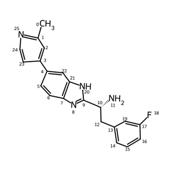 Cc1cc(-c2ccc3nc([C@H](N)Cc4cccc(F)c4)[nH]c3c2)ccn1